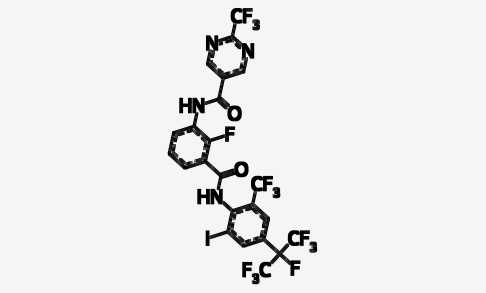 O=C(Nc1cccc(C(=O)Nc2c(I)cc(C(F)(C(F)(F)F)C(F)(F)F)cc2C(F)(F)F)c1F)c1cnc(C(F)(F)F)nc1